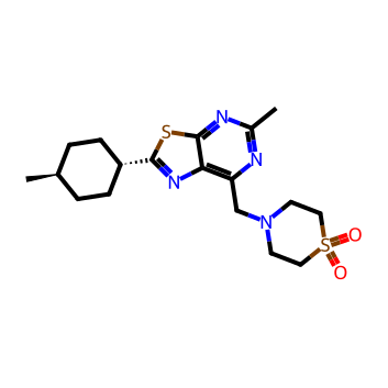 Cc1nc(CN2CCS(=O)(=O)CC2)c2nc([C@H]3CC[C@H](C)CC3)sc2n1